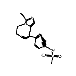 Cc1ncc2n1CCC=C2c1ccc(NS(C)(=O)=O)cc1